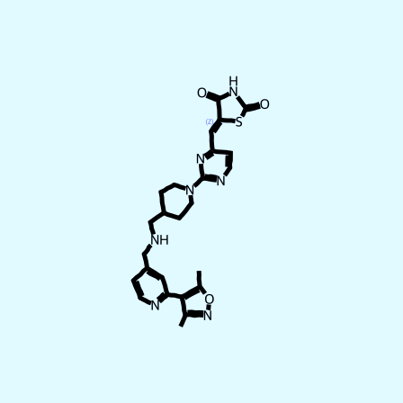 Cc1noc(C)c1-c1cc(CNCC2CCN(c3nccc(/C=C4\SC(=O)NC4=O)n3)CC2)ccn1